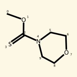 COC(=S)N1CCOCC1